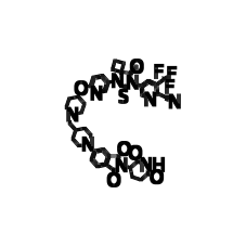 N#Cc1ncc(N2C(=O)C3(CCC3)N(c3ccc(OC4CCN(CC5CCN(c6ccc7c(c6)C(=O)N(C6CCC(=O)NC6=O)C7=O)CC5)CC4)nc3)C2=S)cc1C(F)(F)F